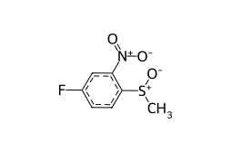 C[S+]([O-])c1ccc(F)cc1[N+](=O)[O-]